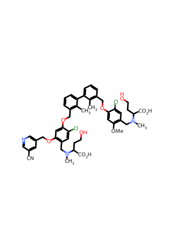 COc1cc(OCc2cccc(-c3cccc(COc4cc(OCc5cncc(C#N)c5)c(CN(C)C(CCO)C(=O)O)cc4Cl)c3C)c2C)c(Cl)cc1CN(C)C(CCO)C(=O)O